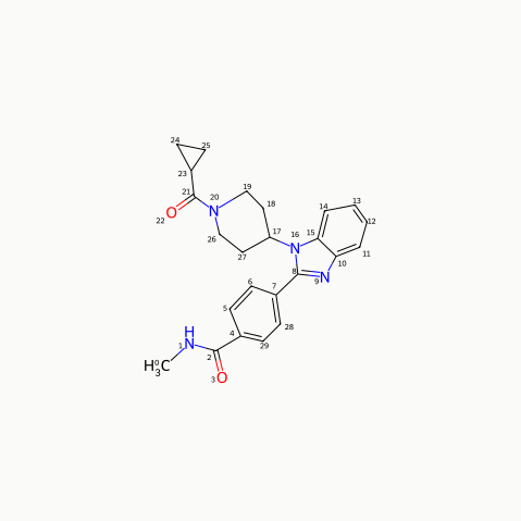 CNC(=O)c1ccc(-c2nc3ccccc3n2C2CCN(C(=O)C3CC3)CC2)cc1